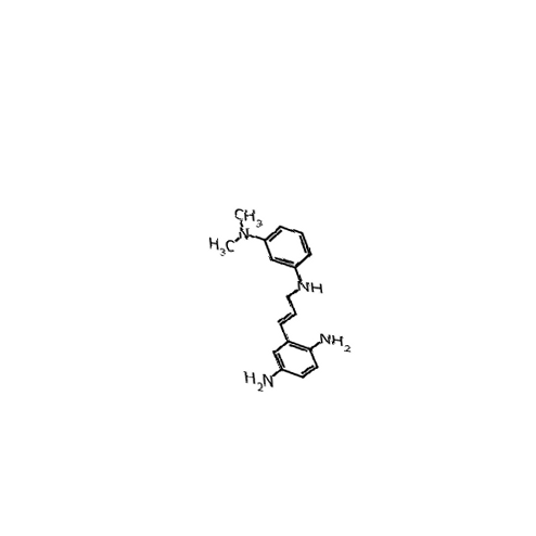 CN(C)c1cccc(NCC=Cc2cc(N)ccc2N)c1